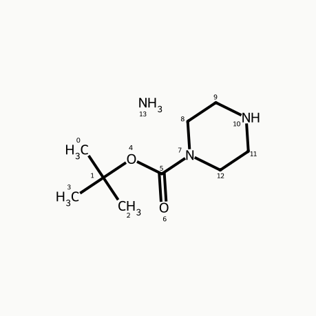 CC(C)(C)OC(=O)N1CCNCC1.N